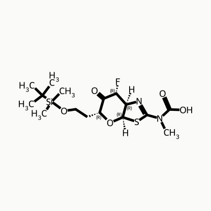 CN(C(=O)O)C1=N[C@H]2[C@H](O[C@H](CCO[Si](C)(C)C(C)(C)C)C(=O)[C@@H]2F)S1